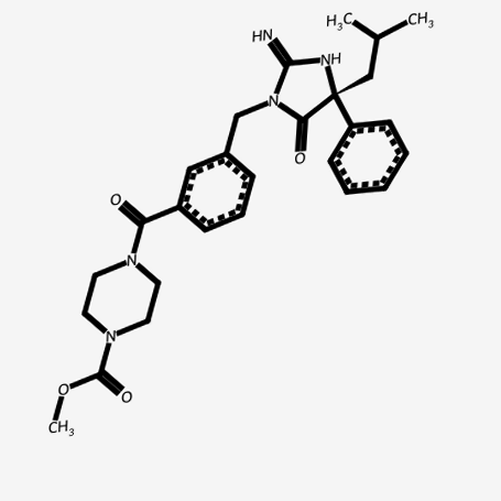 COC(=O)N1CCN(C(=O)c2cccc(CN3C(=N)N[C@](CC(C)C)(c4ccccc4)C3=O)c2)CC1